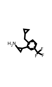 NC1CC1c1cc(C(F)(F)F)ccc1CC1CC1